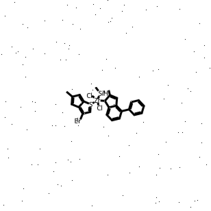 CC1=CC2=C(Br)C=[S]([Zr]([Cl])([Cl])([CH]3C(C)=Cc4c(-c5ccccc5)cccc43)[SiH](C)C)C2=C1